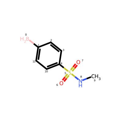 Bc1ccc(S(=O)(=O)NC)cc1